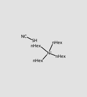 CCCCCC[N+](CCCCCC)(CCCCCC)CCCCCC.N#CS